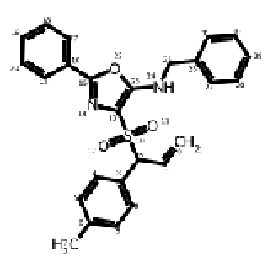 C=CC(c1ccc(C)cc1)S(=O)(=O)c1nc(-c2ccccc2)oc1NCc1ccccc1